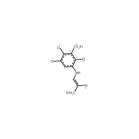 CCOC(=O)C(=CNc1cc(Cl)c(Cl)c(C(=O)OCC)c1Cl)C(C)=O